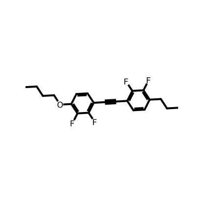 CCCCOc1ccc(C#Cc2ccc(CCC)c(F)c2F)c(F)c1F